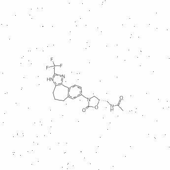 CC(=O)NC[C@H]1CN(c2ccc3c(c2)CCCc2[nH]c(C(F)(F)F)nc2-3)C(=O)O1